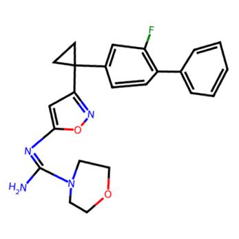 N/C(=N/c1cc(C2(c3ccc(-c4ccccc4)c(F)c3)CC2)no1)N1CCOCC1